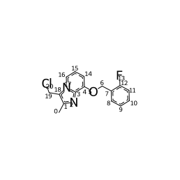 Cc1nc2c(OCc3ccccc3F)cccn2c1CCl